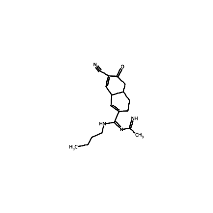 CCCCN/C(=N/C(C)=N)C1=CC2C=C(C#N)C(=O)CC2CC1